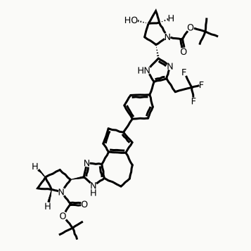 CC(C)(C)OC(=O)N1[C@@H]2C[C@@H]2C[C@H]1c1nc2c([nH]1)CCCc1cc(-c3ccc(-c4[nH]c([C@@H]5C[C@@]6(O)C[C@H]6N5C(=O)OC(C)(C)C)nc4CC(F)(F)F)cc3)ccc1-2